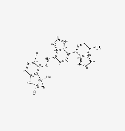 Cc1ccc(-c2cnc(NCc3c(F)ccc4c3[C@H]3C[C@H]3O4)n3cnnc23)c2ncnn12